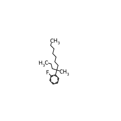 CCCCCCCC(C)(CCC)c1ccccc1F